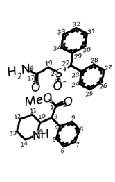 COC(=O)C(c1ccccc1)C1CCCCN1.NC(=O)C[S+]([O-])C(c1ccccc1)c1ccccc1